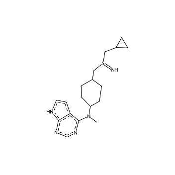 CN(c1ncnc2[nH]ccc12)C1CCC(CS(=N)CC2CC2)CC1